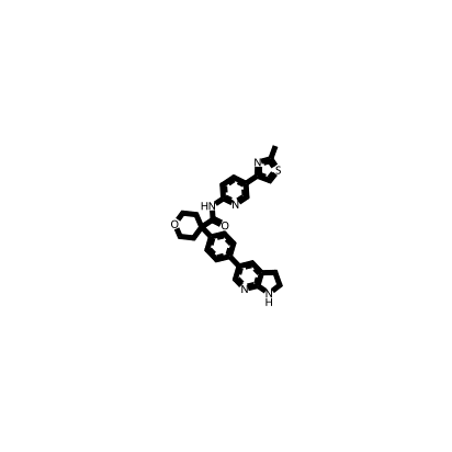 Cc1nc(-c2ccc(NC(=O)C3(c4ccc(-c5cnc6c(c5)CCN6)cc4)CCOCC3)nc2)cs1